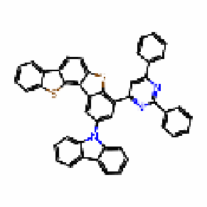 c1ccc(-c2cc(-c3cc(-n4c5ccccc5c5ccccc54)cc4c3sc3ccc5c6ccccc6sc5c34)nc(-c3ccccc3)n2)cc1